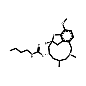 CCCCNC(=O)O[C@H]1CC(C)CN(C)Cc2ccc(OC)c3c2C[C@H](C1)O3